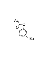 CCC(C)c1ccc2c(c1)OC(C(C)=O)O2